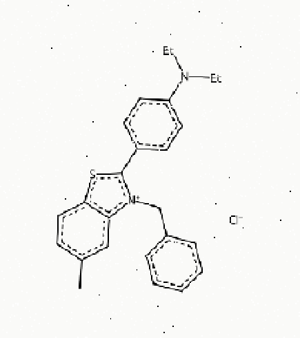 CCN(CC)c1ccc(-c2sc3ccc(C)cc3[n+]2Cc2ccccc2)cc1.[Cl-]